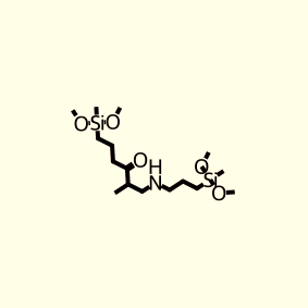 CO[Si](C)(CCCNCC(C)C(=O)CCC[Si](C)(OC)OC)OC